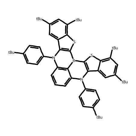 CC(C)(C)c1ccc(N2c3cccc4c3B(c3sc5c(C(C)(C)C)cc(C(C)(C)C)cc5c32)c2sc3c(C(C)(C)C)cc(C(C)(C)C)cc3c2N4c2ccc(C(C)(C)C)cc2)cc1